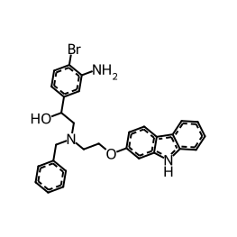 Nc1cc(C(O)CN(CCOc2ccc3c(c2)[nH]c2ccccc23)Cc2ccccc2)ccc1Br